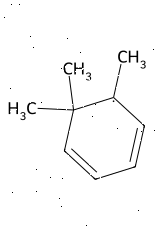 C[C]1C=CC=CC1(C)C